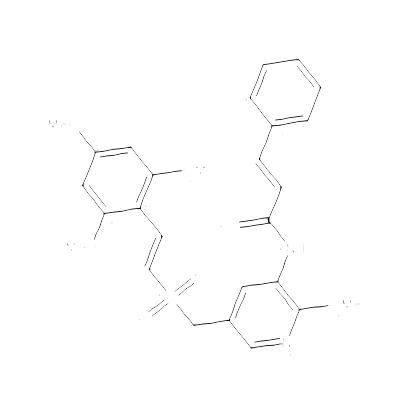 COc1cc(OC)c(C=CS(=O)(=O)Cc2cnc(OC)c(NC(=O)C=Cc3ccccc3)c2)c(OC)c1